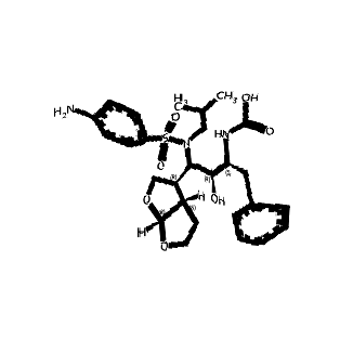 CC(C)CN(C([C@H](O)[C@H](Cc1ccccc1)NC(=O)O)[C@@H]1CO[C@H]2OCC[C@H]21)S(=O)(=O)c1ccc(N)cc1